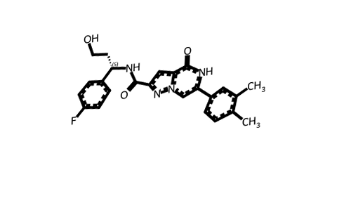 Cc1ccc(-c2cn3nc(C(=O)N[C@@H](CCO)c4ccc(F)cc4)cc3c(=O)[nH]2)cc1C